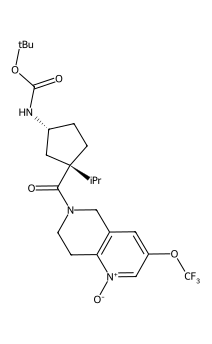 CC(C)[C@]1(C(=O)N2CCc3c(cc(OC(F)(F)F)c[n+]3[O-])C2)CC[C@@H](NC(=O)OC(C)(C)C)C1